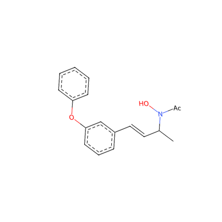 CC(=O)N(O)C(C)C=Cc1cccc(Oc2ccccc2)c1